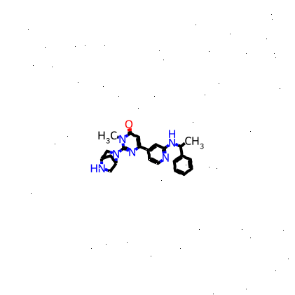 CC(Nc1cc(-c2cc(=O)n(C)c(N3CC4CC3CN4)n2)ccn1)c1ccccc1